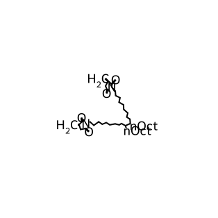 C=C1CC(=O)N(CCCCCCCCCC(CCCCCCCC)C(CCCCCCCC)CCCCCCCCCN2C(=O)CC(=C)C2=O)C1=O